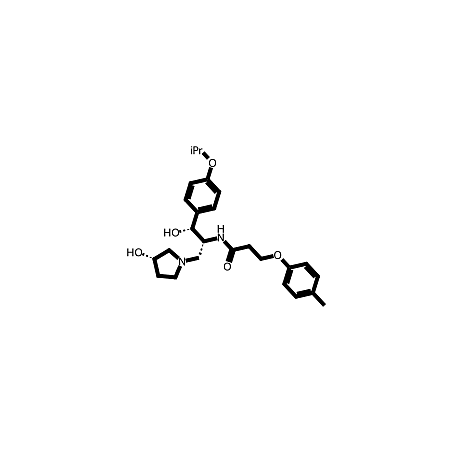 Cc1ccc(OCCC(=O)N[C@H](CN2CC[C@H](O)C2)[C@H](O)c2ccc(OC(C)C)cc2)cc1